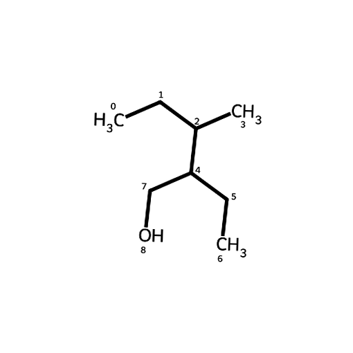 CCC(C)C(CC)CO